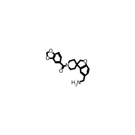 NCc1ccc2c(c1)C1(CCN(C(=O)c3ccc4c(c3)OCO4)CC1)CO2